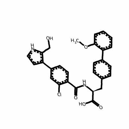 COc1ccccc1-c1ccc(C[C@H](NC(=O)c2ccc(-c3cc[nH]c3CO)cc2Cl)C(=O)O)cc1